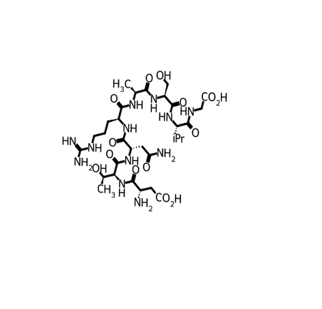 CC(C)[C@H](NC(=O)[C@H](CO)NC(=O)[C@H](C)NC(=O)[C@H](CCCNC(=N)N)NC(=O)[C@H](CC(N)=O)NC(=O)[C@@H](NC(=O)[C@@H](N)CC(=O)O)[C@@H](C)O)C(=O)NCC(=O)O